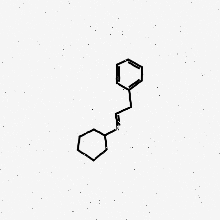 [C](Cc1ccccc1)=NC1CCCCC1